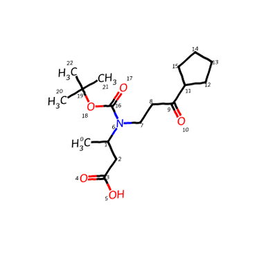 CC(CC(=O)O)N(CCC(=O)C1CCCC1)C(=O)OC(C)(C)C